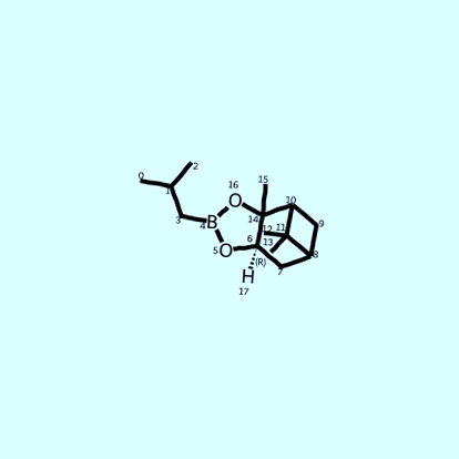 CC(C)CB1O[C@@H]2CC3CC(C3(C)C)C2(C)O1